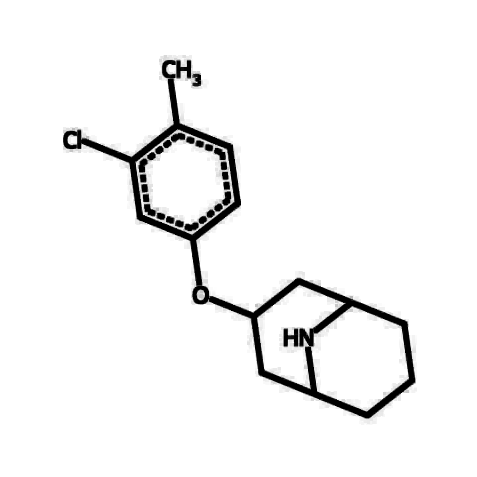 Cc1ccc(OC2CC3CCCC(C2)N3)cc1Cl